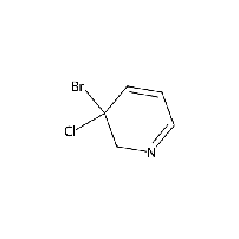 ClC1(Br)C=CC=NC1